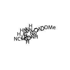 COC1CCN(c2ccc3c(Nc4cc(C)[nH]n4)nc(N[C@@H]4C[C@H]5CC(CCC#N)C[C@@H](C4)N5)nc3c2)CC1